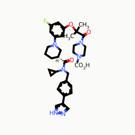 CC(C)(Oc1cc(F)cc(N2CCC[C@@H](C(=O)N(Cc3ccc(-c4cn[nH]c4)cc3)C3CC3)C2)c1)C(=O)N1CCN(C(=O)O)CC1